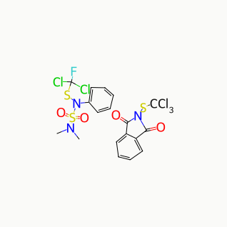 CN(C)S(=O)(=O)N(SC(F)(Cl)Cl)c1ccccc1.O=C1c2ccccc2C(=O)N1SC(Cl)(Cl)Cl